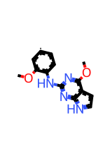 COc1c[c]ccc1Nc1nc(OC)c2cc[nH]c2n1